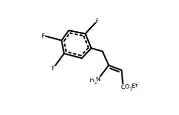 CCOC(=O)C=C(N)Cc1cc(F)c(F)cc1F